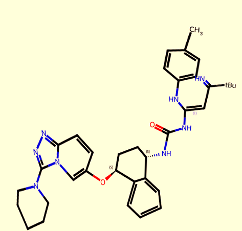 Cc1ccc(N/C(=C\C(=N)C(C)(C)C)NC(=O)N[C@H]2CC[C@H](Oc3ccc4nnc(N5CCCCC5)n4c3)c3ccccc32)cc1